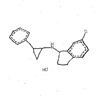 Cl.Clc1ccc2c(c1)C(NC1CC1c1ccccc1)CC2